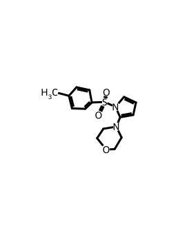 Cc1ccc(S(=O)(=O)n2cccc2N2CCOCC2)cc1